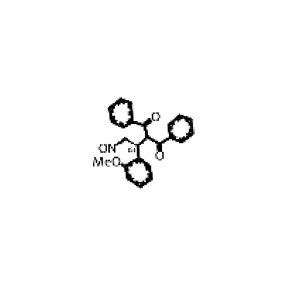 COc1ccccc1[C@@H](CN=O)C(C(=O)c1ccccc1)C(=O)c1ccccc1